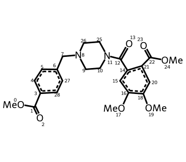 COC(=O)c1ccc(CN2CCN(C(=O)c3cc(OC)c(OC)cc3C(=O)OC)CC2)cc1